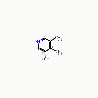 CC1=[C][N+]=[C]C(C)=C1C(F)(F)F